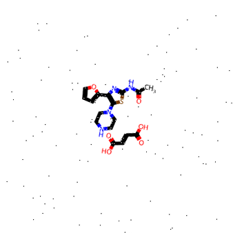 CC(=O)Nc1nc(-c2ccco2)c(N2CCNCC2)s1.O=C(O)C=CC(=O)O